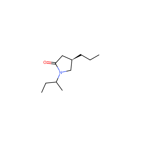 CCC[C@@H]1CC(=O)N(C(C)CC)C1